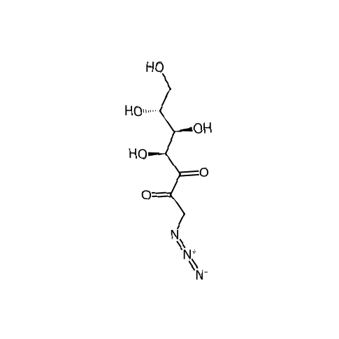 [N-]=[N+]=NCC(=O)C(=O)[C@@H](O)[C@H](O)[C@H](O)CO